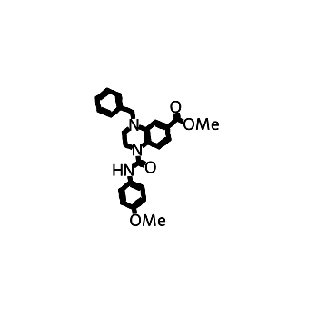 COC(=O)c1ccc2c(c1)N(Cc1ccccc1)CCN2C(=O)Nc1ccc(OC)cc1